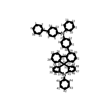 c1ccc(-c2ccc(N(c3ccccc3)c3ccc(-c4cccc5c4-c4ccccc4C54c5ccccc5N(c5ccccc5)c5ccccc54)cc3)cc2)cc1